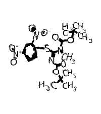 CN(C(=O)OC(C)(C)C)C(=NC(=O)OC(C)(C)C)Sc1ccc([N+](=O)[O-])cc1[N+](=O)[O-]